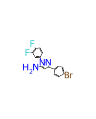 Nc1cc(-c2ccc(Br)cc2)nn1-c1ccc(F)c(F)c1